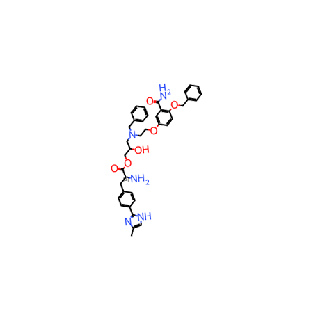 Cc1c[nH]c(-c2ccc(C[C@H](N)C(=O)OCC(O)CN(CCOc3ccc(OCc4ccccc4)c(C(N)=O)c3)Cc3ccccc3)cc2)n1